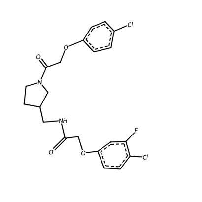 O=C(COc1ccc(Cl)c(F)c1)NCC1CCN(C(=O)COc2ccc(Cl)cc2)C1